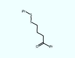 CC(C)SSCCCC(=O)C(C)C